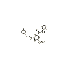 COc1nc(OCCc2ccsc2)nc(C(=O)Nc2nccs2)n1